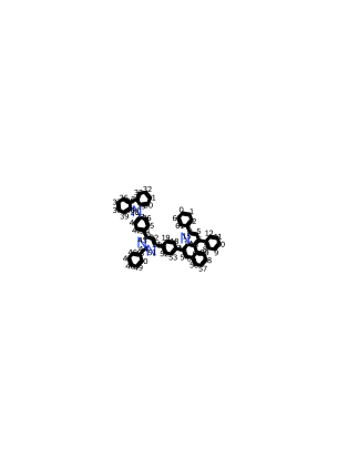 c1ccc(-c2cc(-c3ccccc3)c3c(n2)c(-c2ccc(-c4cc(-c5ccc(-n6c7ccccc7c7ccccc76)cc5)nc(-c5ccccc5)n4)cc2)cc2ccccc23)cc1